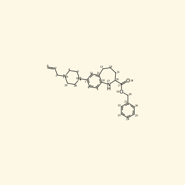 C=CCN1CCN(c2ccc3c(c2)CCCC(C(=O)OCc2ccccc2)N3)CC1